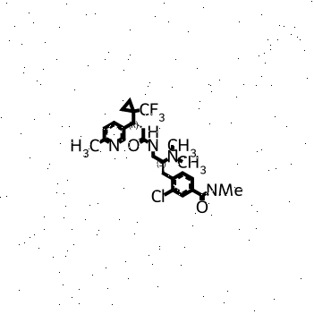 CNC(=O)c1ccc(C[C@@H](CNC(=O)C[C@H](c2ccc(C)nc2)C2(C(F)(F)F)CC2)N(C)C)c(Cl)c1